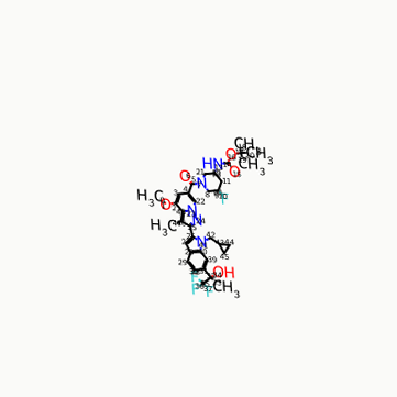 COc1cc(C(=O)N2C[C@H](F)C[C@@H](NC(=O)OC(C)(C)C)C2)cn2nc(-c3cc4ccc(C(C)(O)C(F)(F)F)cc4n3CC3CC3)c(C)c12